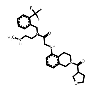 CNCCN(Cc1ccccc1C(F)(F)F)C(=O)CNc1cccc2c1CCN(C(=O)C1CCOC1)C2